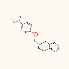 CCC(C)c1ccc(OCc2ccc3ccccc3c2)cc1